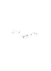 COc1ccc(CCO[C@@H]2CCCC[C@H]2N2CCN(C(=O)Cc3ccc(OC)c(OC)c3)CC2)cc1OC.Cl